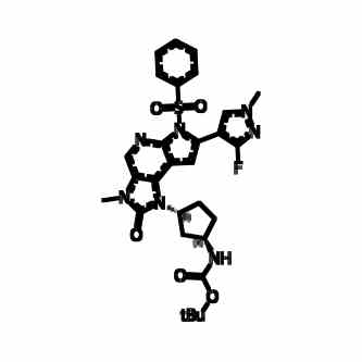 Cn1cc(-c2cc3c(ncc4c3n([C@@H]3CC[C@@H](NC(=O)OC(C)(C)C)C3)c(=O)n4C)n2S(=O)(=O)c2ccccc2)c(F)n1